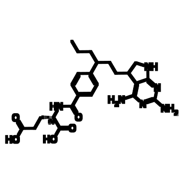 CCCC(CCC1CNc2nc(N)nc(N)c21)c1ccc(C(=O)N[C@@H](CCC(=O)O)C(=O)O)cc1